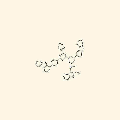 C=Cc1sc2ccccc2c1/C=C(\C)c1cc(-c2ccc3sc4ccccc4c3c2)cc(-c2nc(-c3ccccc3)nc(-c3ccc(-c4cccc5c4sc4ccccc45)cc3)n2)c1